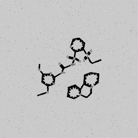 CCS(=O)(=O)c1cccnc1S(=O)(=O)NC(=O)Nc1nc(OC)cc(OC)n1.c1cc[n+]2c(c1)-c1cccc[n+]1CC2